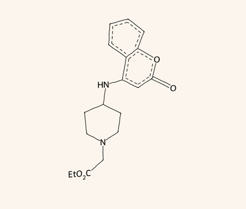 CCOC(=O)CN1CCC(Nc2cc(=O)oc3ccccc23)CC1